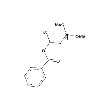 CCC(C[SiH](OC)OC)OC(=O)c1ccccc1